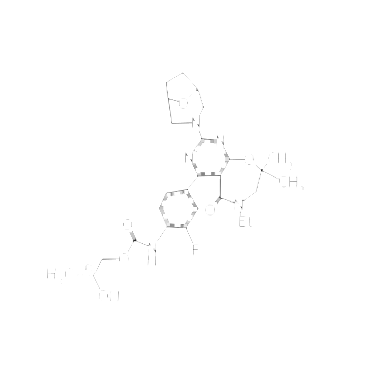 CCN1CC(C)(C)Oc2nc(N3CC4CCC(C3)O4)nc(-c3ccc(NC(=O)OC[C@@H](C)O)c(F)c3)c2C1=O